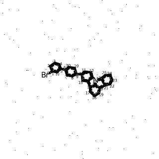 Brc1cccc(-c2ccc(-c3ccc4c(c3)c3cccc5c6ccccc6n4c53)cc2)c1